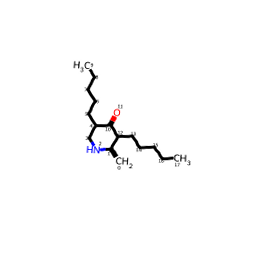 C=C1NCC(CCCCC)C(=O)C1CCCCC